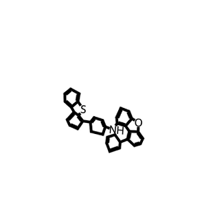 C1=CCC(c2cccc3oc4cccc(NC5=CC=C(c6cccc7c6sc6ccccc67)CC5)c4c23)C=C1